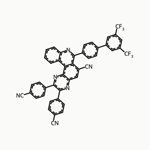 N#Cc1ccc(-c2nc3cc(C#N)c4c(-c5ccc(-c6cc(C(F)(F)F)cc(C(F)(F)F)c6)cc5)nc5ccccc5c4c3nc2-c2ccc(C#N)cc2)cc1